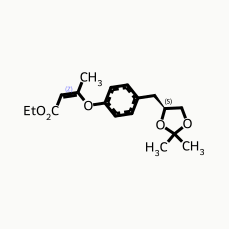 CCOC(=O)/C=C(/C)Oc1ccc(C[C@H]2COC(C)(C)O2)cc1